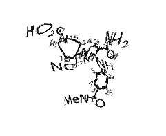 CNC(=O)c1ccc(Nc2nn(C3(CC#N)CCN(C(=O)O)CC3)cc2C(N)=O)cc1